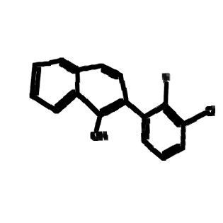 Oc1c(-c2cccc(Cl)c2F)ccc2ccccc12